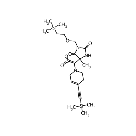 CC1(C(N2CC=C(C#C[Si](C)(C)C)CC2)=S(=O)=O)NC(=O)N(COCC[Si](C)(C)C)C1=O